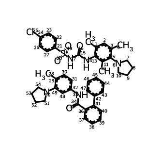 Cc1cc(C)c(N2CCCC2)c(C)c1NC(=O)NS(=O)(=O)c1ccc(Cl)cc1.Cc1ccc(NC(=O)c2ccccc2-c2ccccc2)cc1N1CCCC1